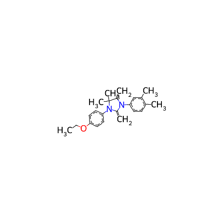 C=C1N(c2ccc(C)c(C)c2)C(=C)C(C)(C)N1c1ccc(OCC)cc1